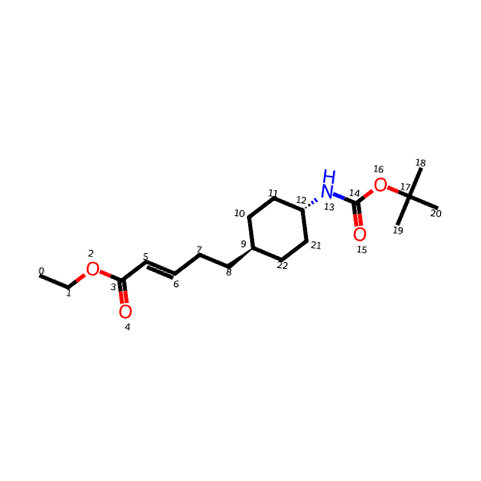 CCOC(=O)/C=C/CC[C@H]1CC[C@H](NC(=O)OC(C)(C)C)CC1